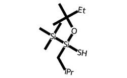 CCC(C)(C)O[Si](S)(CC(C)C)[Si](C)(C)C